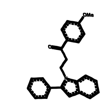 COc1ccc(C(=O)CCn2c(-c3ccccc3)cc3ccccc32)cc1